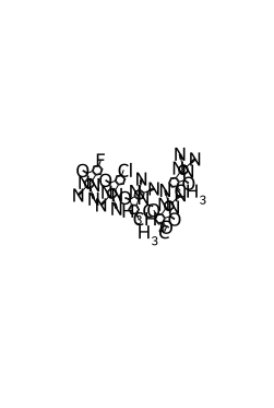 COc1ccc(OC)c2c1C(=O)c1nc(C#N)c(C#N)nc1-2.Cc1ccc2c(c1)-c1nc(C#N)c(C#N)nc1C2=O.Cc1cccc2c1C(=O)c1nc(C#N)c(C#N)nc1-2.N#Cc1nc2c(nc1C#N)-c1ccc(Cl)cc1C2=O.N#Cc1nc2c(nc1C#N)-c1ccc(F)cc1C2=O